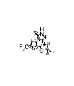 O=c1c2sc(C(F)(F)F)cc2n2c(=S)[nH]nc2n1CC1CC1